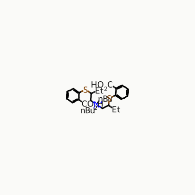 CCCC[N+](CCCC)(CC(CC)Sc1ccccc1C(=O)O)CC(CC)Sc1ccccc1C(=O)O